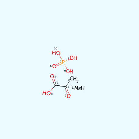 CC(=O)C(=O)O.O=P(O)(O)O.[NaH]